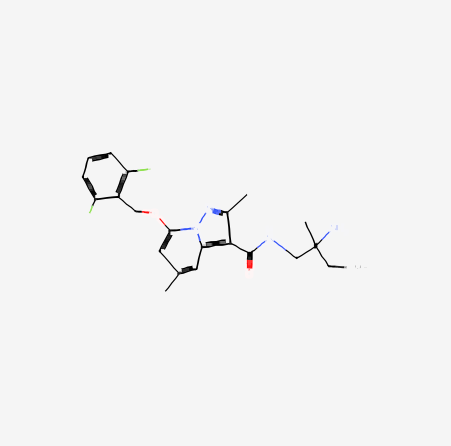 COCC(C)(N)CNC(=O)c1c(C)nn2c(OCc3c(F)cccc3F)cc(C)cc12